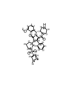 COc1cccc(Cn2c(C(=O)N3CCNCC3)c(-c3ccccc3)n(C3CCCN(S(=O)(=O)c4cnn(C)c4)C3)c2=O)c1